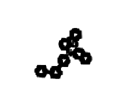 c1ccc(-c2cccc(-c3ccc(N(c4ccc5ccccc5c4)c4cccc5c4oc4ccccc45)cc3)c2)cc1